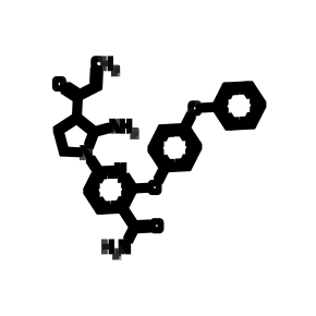 C=CC(=O)C1CCN(c2ccc(C(N)=O)c(Oc3ccc(Oc4ccccc4)cc3)n2)C1N